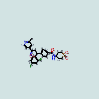 Cc1cc(/C(CC(c2ccc(C(=O)NC3CCS(=O)(=O)CC3)cc2)c2ccc(F)cc2F)=N/O)ccn1